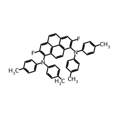 Cc1ccc(N(c2ccc(C)cc2)c2c(F)cc3ccc4cc(F)c(N(c5ccc(C)cc5)c5ccc(C)cc5)c5ccc2c3c45)cc1